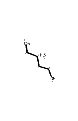 OCCCCO.S